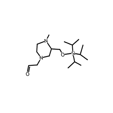 CC(C)[Si](OCC1CN(CC=O)CCN1C)(C(C)C)C(C)C